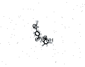 Cc1cc(C)c(CNC(=O)c2ccc(C3COC(C)C3)cc2)c(=O)[nH]1